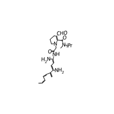 C=C(/C=C\C=C/C)/C(N)=C/C=C(\N)NC(=O)CN1CCCC(C=O)=C1C(=O)N(C)C(C)C